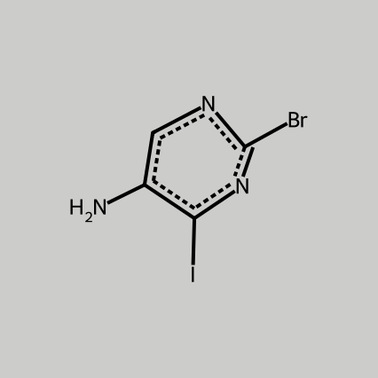 Nc1cnc(Br)nc1I